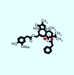 C=C(C)C12C[C@@H](C)[C@@]34OC(Cc5ccccc5)(O[C@@H]1[C@@H]3C=C(COC(=O)Cc1ccc(O)c(OC)c1)C[C@]1(O)C(=O)C(C)=C[C@@H]41)O2